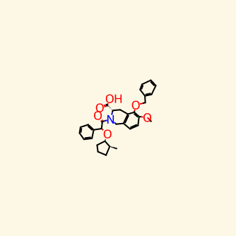 COc1ccc2c(c1OCc1ccccc1)C[C@@H](C(=O)O)N(C(=O)[C@@H](O[C@H]1CCC[C@@H]1C)c1ccccc1)C2